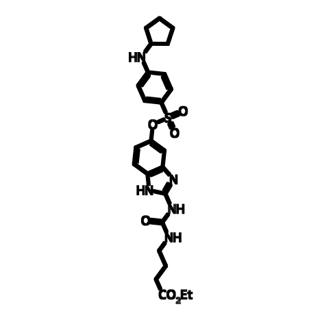 CCOC(=O)CCCNC(=O)Nc1nc2cc(OS(=O)(=O)c3ccc(NC4CCCC4)cc3)ccc2[nH]1